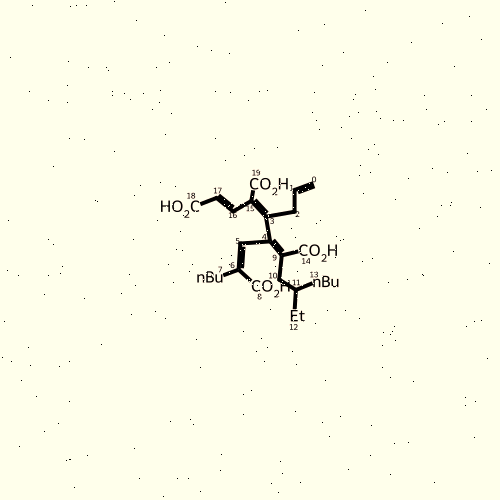 C=CCC(C(C=C(CCCC)C(=O)O)=C(CC(CC)CCCC)C(=O)O)=C(C=CC(=O)O)C(=O)O